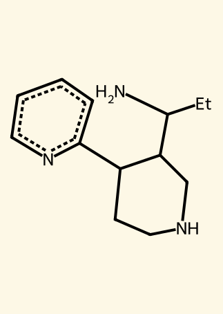 CCC(N)C1CNCCC1c1ccccn1